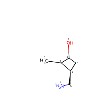 CC1C(O)C[C@H]1CN